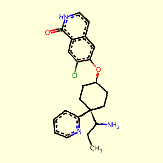 CCC(N)[C@]1(c2ccccn2)CC[C@H](Oc2cc3cc[nH]c(=O)c3cc2Cl)CC1